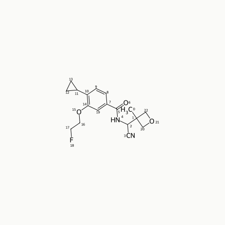 CC1(C(C#N)NC(=O)c2ccc(C3CC3)c(OCCF)c2)COC1